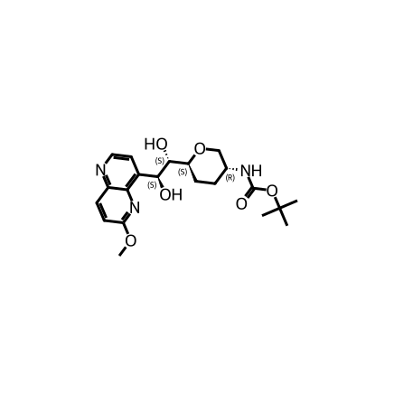 COc1ccc2nccc([C@H](O)[C@H](O)[C@@H]3CC[C@@H](NC(=O)OC(C)(C)C)CO3)c2n1